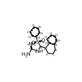 N=C(N)NC(C1CCCc2ccccc21)S(=O)(=O)c1ccccc1